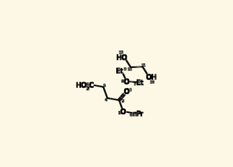 CCCOC(=O)CCC(=O)O.CCOCC.OCCO